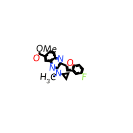 COC(=O)c1ccc2nc(-c3cc4cc(F)ccc4o3)c(N(C)C3CC3)nc2c1